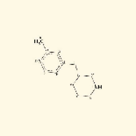 Cc1cc(C[C@H]2CCCNC2)ccn1